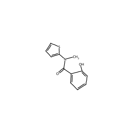 CN(C(=O)c1ccccc1O)c1cccs1